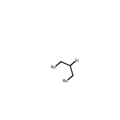 CC[C](CC(C)CC)CC(C)CC